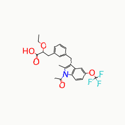 CCOC(Cc1cccc(Cc2c(C)n(C(C)=O)c3ccc(OC(F)(F)F)cc23)c1)C(=O)O